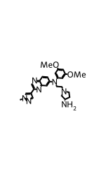 COc1cc(OC)cc(N(CCN2CC[C@H](N)C2)c2ccc3ncc(-c4cnn(C)c4)nc3c2)c1